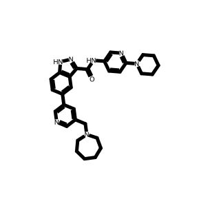 O=C(Nc1ccc(N2CCCCC2)nc1)c1n[nH]c2ccc(-c3cncc(CN4CCCCCC4)c3)cc12